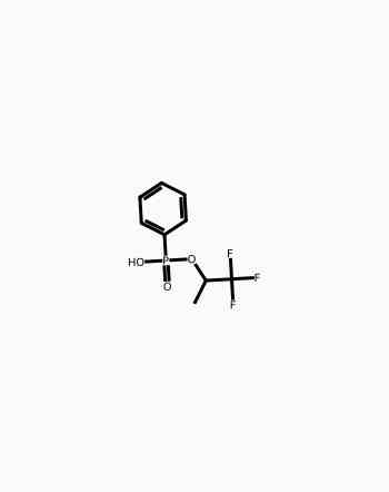 CC(OP(=O)(O)c1ccccc1)C(F)(F)F